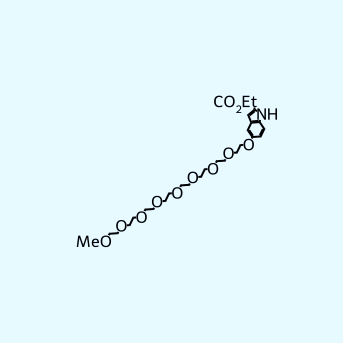 CCOC(=O)c1cc2cc(OCCOCCOCCOCCOCCOCCOCCOCCOC)ccc2[nH]1